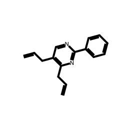 C=CCc1cnc(-c2ccccc2)nc1CC=C